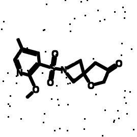 COc1ncc(C)cc1S(=O)(=O)N1CC2(CC(=O)CO2)C1